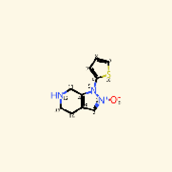 [O-][n+]1cc2c(n1-c1cccs1)CNCC2